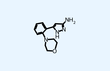 Nc1cc(-c2ccccc2N2CCOCC2)[nH]n1